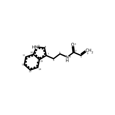 C=CC(=O)NCCc1c[nH]c2ccccc12